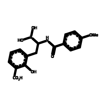 COc1ccc(C(=O)NC(Cc2cccc(C(=O)O)c2O)B(O)O)cc1